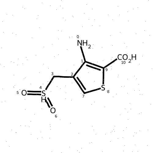 Nc1c(C[SH](=O)=O)csc1C(=O)O